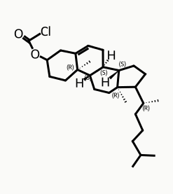 CC(C)CCC[C@@H](C)C1CC[C@H]2[C@@H]3CC=C4CC(OC(=O)Cl)CC[C@]4(C)[C@H]3CC[C@]12C